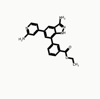 CCOC(=O)c1cccc(-c2cc(-c3ccnc(N)c3)cc3c(N)n[nH]c23)c1